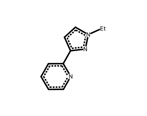 CCn1ccc(-c2ccccn2)n1